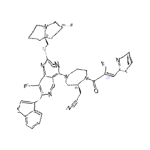 N#CC[C@H]1CN(c2nc(OC[C@@]34CCCN3C[C@H](F)C4)nc3c(F)c(-c4csc5ccccc45)ncc23)CCN1C(=O)/C(F)=C/c1nccs1